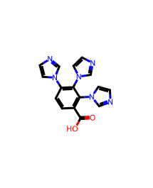 O=C(O)c1ccc(-n2ccnc2)c(-n2ccnc2)c1-n1ccnc1